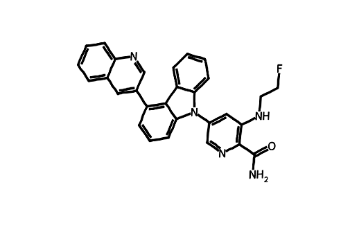 NC(=O)c1ncc(-n2c3ccccc3c3c(-c4cnc5ccccc5c4)cccc32)cc1NCCF